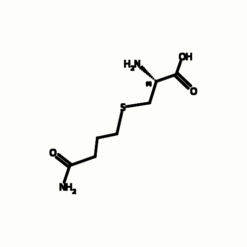 NC(=O)CCCSC[C@H](N)C(=O)O